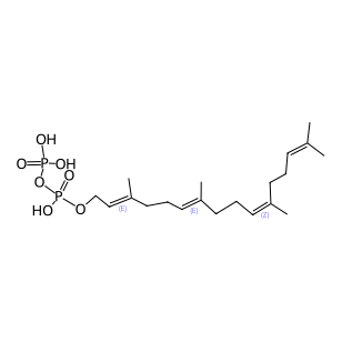 CC(C)=CCC/C(C)=C\CC/C(C)=C/CC/C(C)=C/COP(=O)(O)OP(=O)(O)O